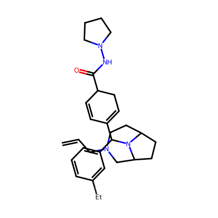 C=CCN1CCC2CCC(C1)N2C(C1=CCC(C(=O)NN2CCCC2)C=C1)c1cccc(CC)c1